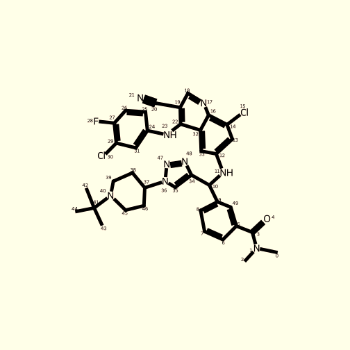 CN(C)C(=O)c1cccc(C(Nc2cc(Cl)c3ncc(C#N)c(Nc4ccc(F)c(Cl)c4)c3c2)c2cn(C3CCN(C(C)(C)C)CC3)nn2)c1